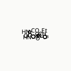 CCOC(=O)c1c[nH]c2c(=O)[nH]c3ccc(S(=O)(=O)N(C)Cc4ccccc4)cc3c12